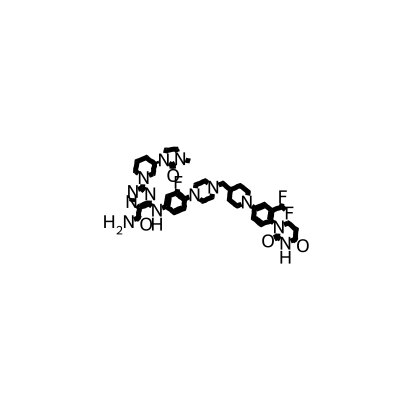 CN1CCN([C@@H]2CCCN(c3nnc(C(N)=O)c(Nc4ccc(N5CCN(CC6CCN(c7ccc(N8CCC(=O)NC8=O)c(C(F)F)c7)CC6)CC5)c(F)c4)n3)C2)C1=O